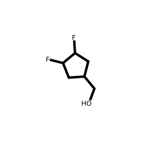 OCC1CC(F)C(F)C1